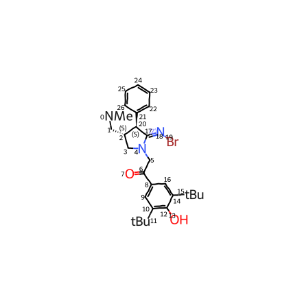 CNC[C@H]1CN(CC(=O)c2cc(C(C)(C)C)c(O)c(C(C)(C)C)c2)/C(=N\Br)[C@@H]1c1ccccc1